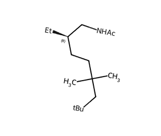 CC[C@H](CCC(C)(C)CC(C)(C)C)CNC(C)=O